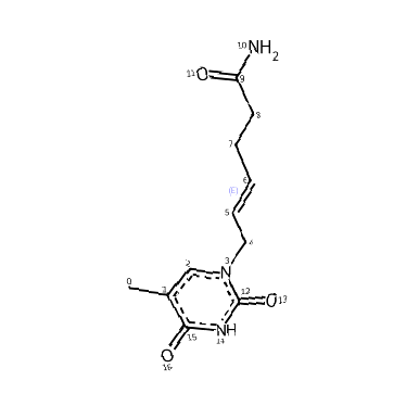 Cc1cn(C/C=C/CCC(N)=O)c(=O)[nH]c1=O